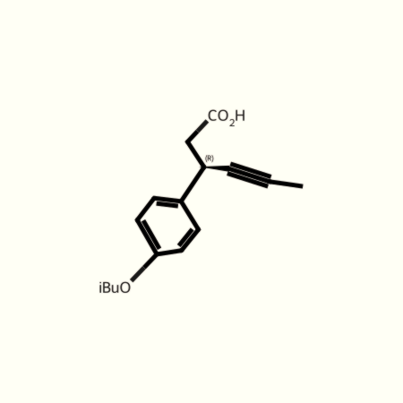 CC#C[C@H](CC(=O)O)c1ccc(OCC(C)C)cc1